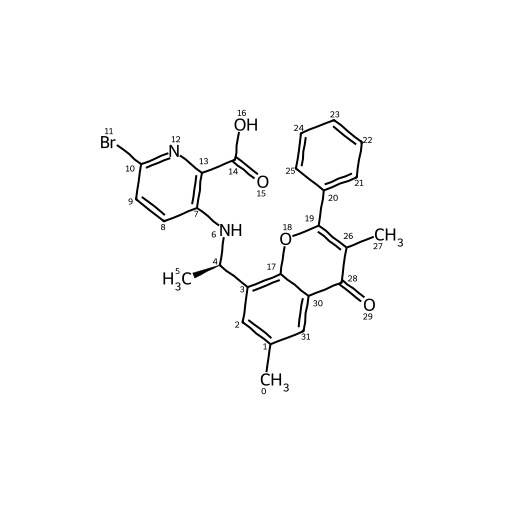 Cc1cc([C@@H](C)Nc2ccc(Br)nc2C(=O)O)c2oc(-c3ccccc3)c(C)c(=O)c2c1